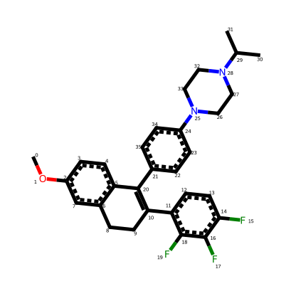 COc1ccc2c(c1)CCC(c1ccc(F)c(F)c1F)=C2c1ccc(N2CCN(C(C)C)CC2)cc1